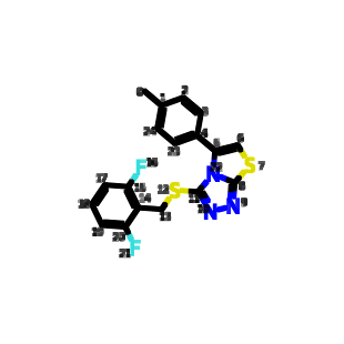 Cc1ccc(-c2csc3nnc(SCc4c(F)cccc4F)n23)cc1